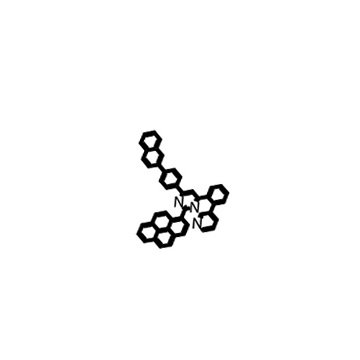 c1cncc(-c2ccccc2-c2cc(-c3ccc(-c4ccc5ccccc5c4)cc3)nc(-c3ccc4ccc5cccc6ccc3c4c56)n2)c1